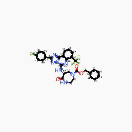 O=C1NCCN(C(=O)OCc2ccccc2)C[C@H]1Nc1nc2c(C(F)(F)F)cccc2c2nc(-c3ccc(F)cc3)nn12